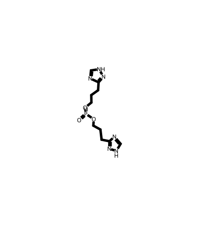 O=[PH](OCCCc1nc[nH]n1)OCCCc1nc[nH]n1